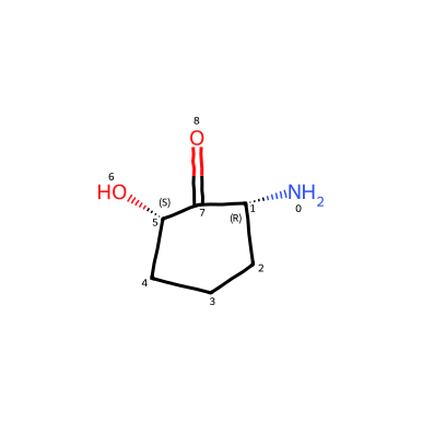 N[C@@H]1CCC[C@H](O)C1=O